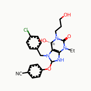 CCN1C(=O)N(CCCO)[C@@H](O)C2=C1NC(Oc1ccc(C#N)cc1)N2Cc1ccc(Cl)cc1